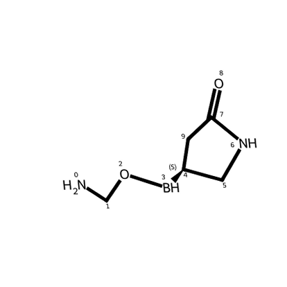 NCOB[C@@H]1CNC(=O)C1